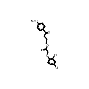 COc1ccc(C(=O)CCCOC(=O)COc2ccc(Cl)cc2Cl)cc1